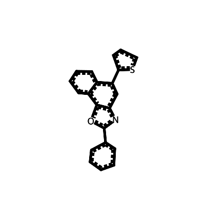 c1ccc(-c2nc3cc(-c4cccs4)c4ccccc4c3o2)cc1